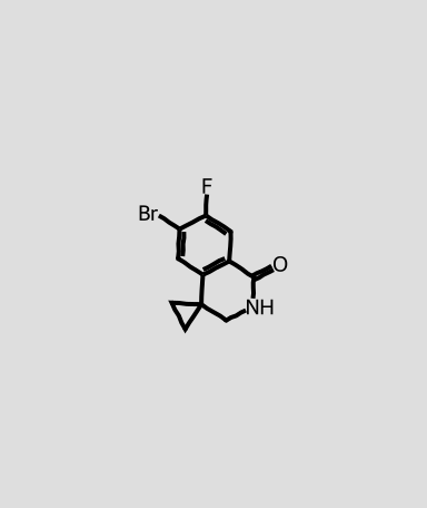 O=C1NCC2(CC2)c2cc(Br)c(F)cc21